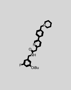 CC(C)COc1cc(F)cc(CNC(=O)Cc2ccc(-c3ccc(CN4CCCCC4)cc3)cn2)c1